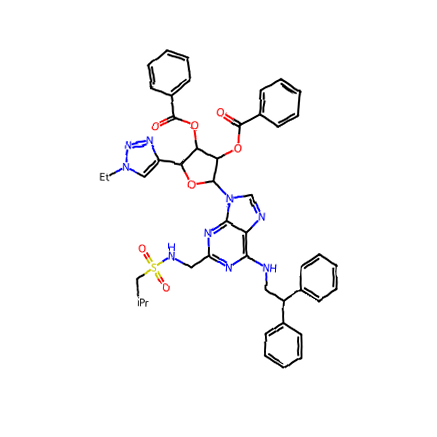 CCn1cc(C2OC(n3cnc4c(NCC(c5ccccc5)c5ccccc5)nc(CNS(=O)(=O)CC(C)C)nc43)C(OC(=O)c3ccccc3)C2OC(=O)c2ccccc2)nn1